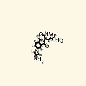 CNC(=O)C(CCC=O)N1C(=O)c2ccc(N3CC(N)C3)cc2C1=O